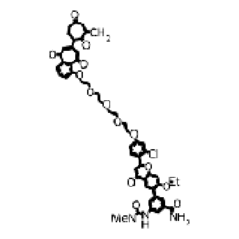 C=C1CC(=O)CCC(C2=CC(=O)c3cccc(OCCOCCOCCOCCOc4ccc(-c5cc(=O)c6cc(-c7cc(NC(=O)NC)cc(C(N)=O)c7)c(OCC)cc6o5)c(Cl)c4)c3C(=O)C2)C1=O